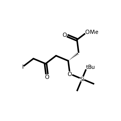 COC(=O)C[C@@H](CC(=O)CI)O[Si](C)(C)C(C)(C)C